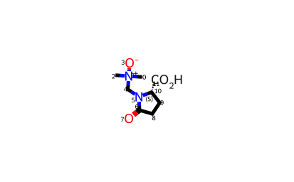 C[N+](C)([O-])CN1C(=O)CC[C@H]1C(=O)O